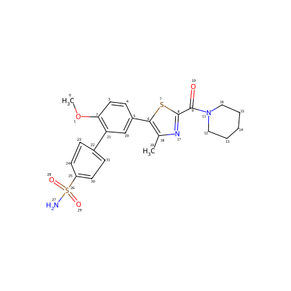 COc1ccc(-c2sc(C(=O)N3CCCCC3)nc2C)cc1-c1ccc(S(N)(=O)=O)cc1